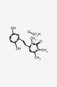 Cc1cc(C=Cc2cc(O)ccc2O)[n+](C)c(=O)n1C.O=S(=O)([O-])O